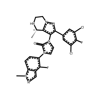 C[C@@H]1NCCn2nc(-c3cc(Cl)c(F)c(Cl)c3)c(-n3ccn(-c4ccc5c(cnn5C)c4F)c3=O)c21